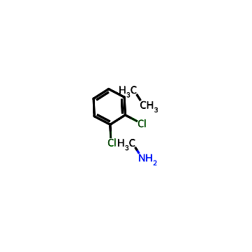 CC.CN.Clc1ccccc1Cl